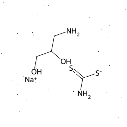 NC(=S)[S-].NCC(O)CO.[Na+]